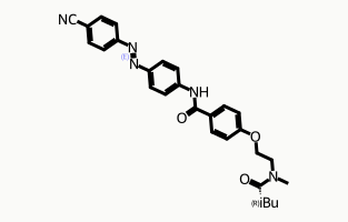 CC[C@@H](C)C(=O)N(C)CCOc1ccc(C(=O)Nc2ccc(/N=N/c3ccc(C#N)cc3)cc2)cc1